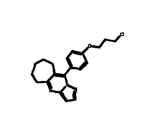 ClCCCOc1ccc(-c2c3c(nc4ccnn24)CCCCC3)cc1